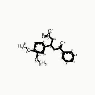 COc1ccc(C(CC(=O)c2ccccc2)C[N+](=O)[O-])cc1OC